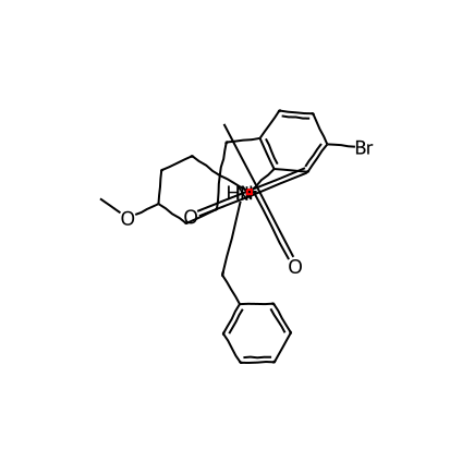 COC1CCC2(CC1)Cc1ccc(Br)cc1C21NC(=O)N(Cc2ccccc2)C1=O